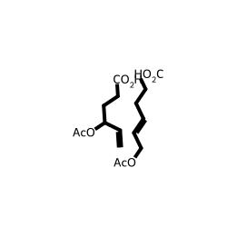 C=CC(CCC(=O)O)OC(C)=O.CC(=O)OC/C=C/CCC(=O)O